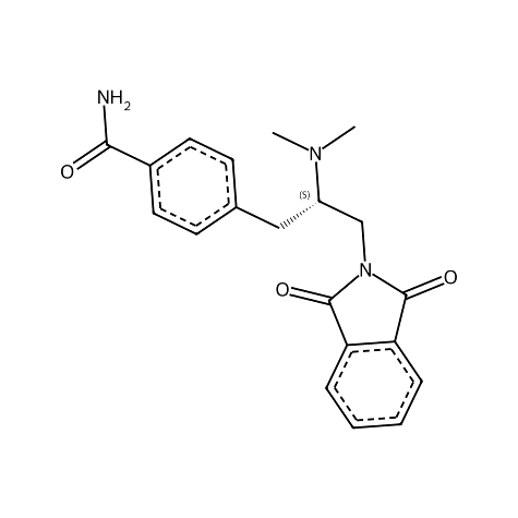 CN(C)[C@@H](Cc1ccc(C(N)=O)cc1)CN1C(=O)c2ccccc2C1=O